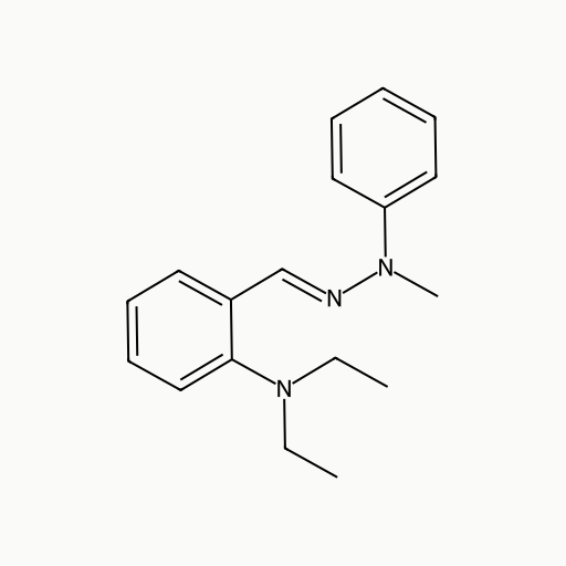 CCN(CC)c1ccccc1C=NN(C)c1ccccc1